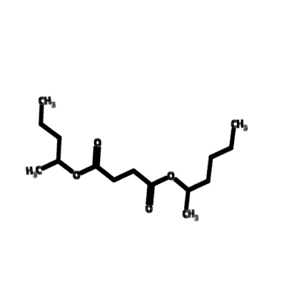 CCCCC(C)OC(=O)CCC(=O)OC(C)CCC